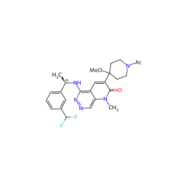 COC1(c2cc3c(N[C@H](C)c4cccc(C(F)F)c4)nncc3n(C)c2=O)CCN(C(C)=O)CC1